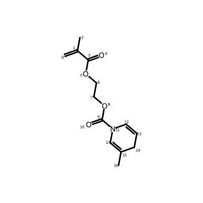 C=C(C)C(=O)OCCOC(=O)N1C=CCC(C)=C1